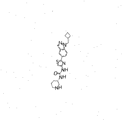 O=C(Nc1csc(-c2ccc3c(cnn3CC3CCC3)c2)n1)N[C@H]1CCCNC1